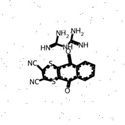 N#Cc1sc2c(=O)c3ccccc3c(=O)c=2sc1C#N.N=C(N)NC(=N)N